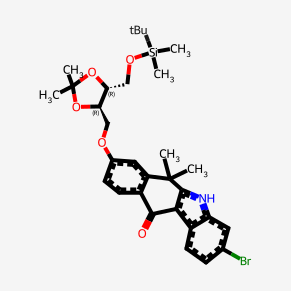 CC1(C)O[C@H](COc2ccc3c(c2)C(C)(C)c2[nH]c4cc(Br)ccc4c2C3=O)[C@@H](CO[Si](C)(C)C(C)(C)C)O1